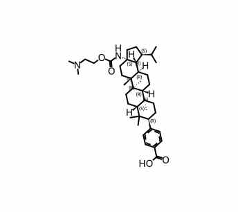 CC(C)[C@@H]1CC[C@]2(NC(=O)OCCN(C)C)CC[C@]3(C)[C@H](CC[C@@H]4[C@@]5(C)CC[C@@H](c6ccc(C(=O)O)cc6)C(C)(C)[C@@H]5CC[C@]43C)[C@@H]12